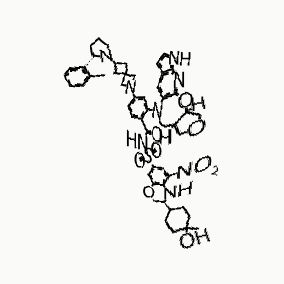 Cc1ccccc1[C@@H]1CCCN1C1CC2(C1)CN(c1ccc(C(=O)NS(=O)(=O)c3cc4c(c([N+](=O)[O-])c3)N[C@@H](C3CCC(C)(O)CC3)CO4)c(N3C[C@H]4COC[C@H]4Oc4nc5[nH]ccc5cc43)c1)C2